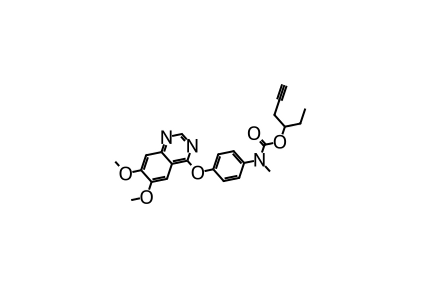 C#CCC(CC)OC(=O)N(C)c1ccc(Oc2ncnc3cc(OC)c(OC)cc23)cc1